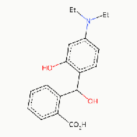 CCN(CC)c1ccc(C(O)c2ccccc2C(=O)O)c(O)c1